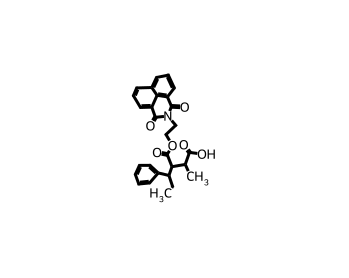 CCC(c1ccccc1)C(C(=O)OCCN1C(=O)c2cccc3cccc(c23)C1=O)C(C)C(=O)O